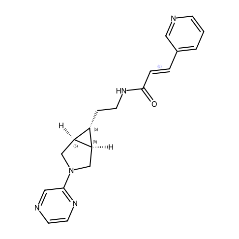 O=C(/C=C/c1cccnc1)NCC[C@@H]1[C@H]2CN(c3cnccn3)C[C@@H]12